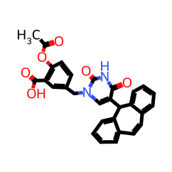 CC(=O)Oc1ccc(Cn2cc(C3c4ccccc4C=Cc4ccccc43)c(=O)[nH]c2=O)cc1C(=O)O